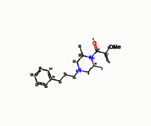 C=C(OC)C(=O)N1C(C)CN(CCCc2ccccc2)CC1C